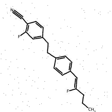 CCCC(F)=Cc1ccc(CCc2ccc(C#N)c(F)c2)cc1